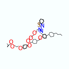 C=C(C)C(=O)OCCCOc1ccc(OC(=O)C2CCC(COc3ccc(C4CCC(CCCC)CC4)cc3/C=N/N(CCOCCOC)c3nc4ccccc4s3)CC2)cc1